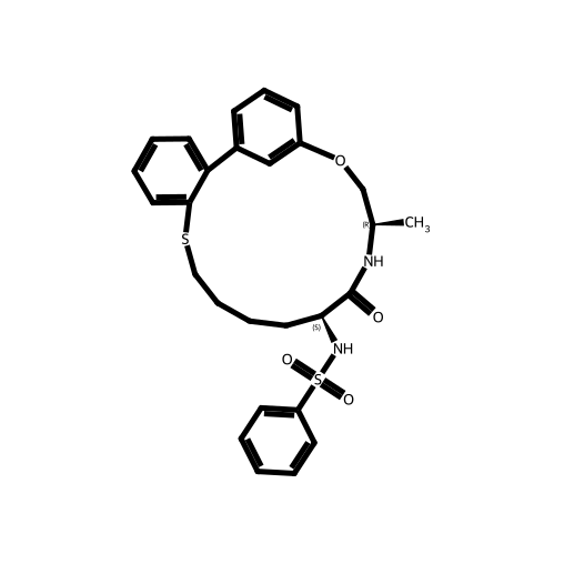 C[C@@H]1COc2cccc(c2)-c2ccccc2SCCCC[C@H](NS(=O)(=O)c2ccccc2)C(=O)N1